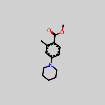 COC(=O)c1ccc(N2CCCCC2)cc1C